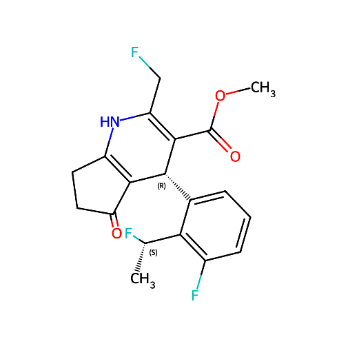 COC(=O)C1=C(CF)NC2=C(C(=O)CC2)[C@H]1c1cccc(F)c1[C@H](C)F